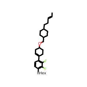 C/C=C/CCC1CCC(COC2CC=C(c3ccc(CCCCCC)c(F)c3F)CC2)CC1